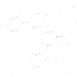 COc1cccc(OC)c1C1CN(c2nc(-c3ccncn3)cc(=O)n2C)CCO1